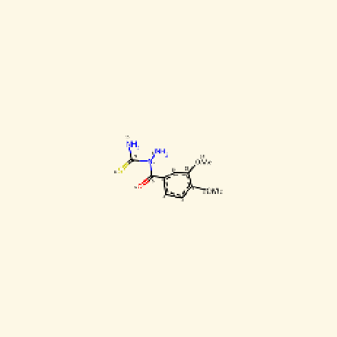 COc1ccc(C(=O)N(N)C(N)=S)cc1OC